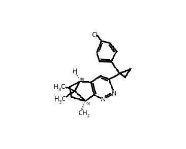 CC1(C)[C@H]2CC[C@]1(C)c1nnc(C3(c4ccc(Cl)cc4)CC3)cc12